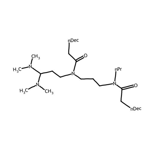 CCCCCCCCCCCC(=O)N(CCC)CCCN(CCC(N(C)C)N(C)C)C(=O)CCCCCCCCCCC